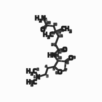 CN(C)CCC1OCC(=O)C1NC(=O)[CH]CC(C)(C)CC(N)=O